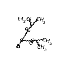 CCCCCC(CCCCC)CCOC(=O)CCCCCCCCC(CCCCCCC(=O)OCCC(CCCCC)CCCCC)OCCCCN1CCCCC1